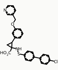 O=C(O)C1(NSc2ccc(-c3ccc(Cl)cc3)cc2)CC1c1cccc(OCc2cccnc2)c1